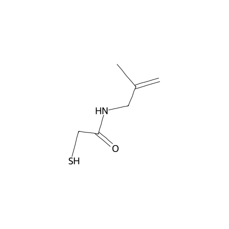 C=C(C)CNC(=O)CS